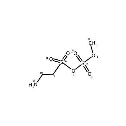 COS(=O)(=O)OS(=O)(=O)CCN